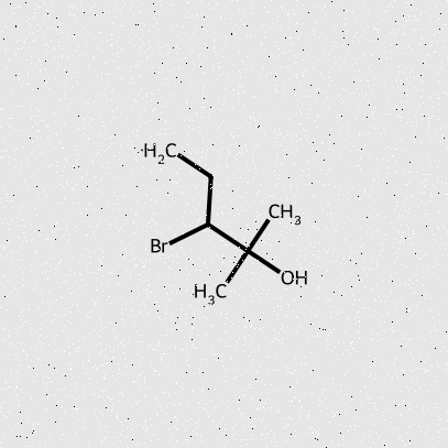 [CH2]CC(Br)C(C)(C)O